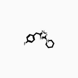 Fc1ccc(Cc2nsc(N3CCCCC3)n2)cc1